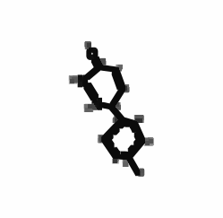 Cc1ccc(C2C=CC(=O)N=N2)cc1